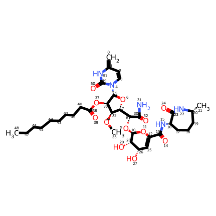 C=C1C=CN([C@@H]2O[C@H]([C@@H](O[C@H]3OC(C(=O)N[C@H]4CCC[C@@H](C)NC4=O)=C[C@H](O)[C@@H]3O)C(N)=O)[C@@H](OC)[C@H]2OC(=O)CCCCCCCCC)C(=O)N1